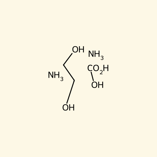 N.N.O=C(O)O.OCCO